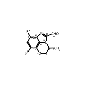 CC1COc2c(Br)cc(F)c3nc(C=O)n1c23